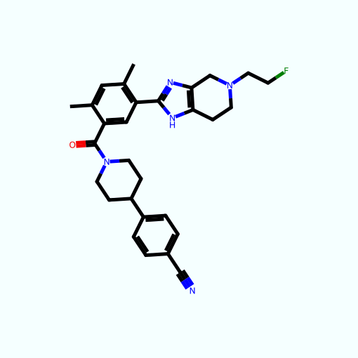 Cc1cc(C)c(-c2nc3c([nH]2)CCN(CCF)C3)cc1C(=O)N1CCC(c2ccc(C#N)cc2)CC1